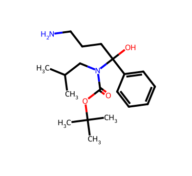 CC(C)CN(C(=O)OC(C)(C)C)C(O)(CCCN)c1ccccc1